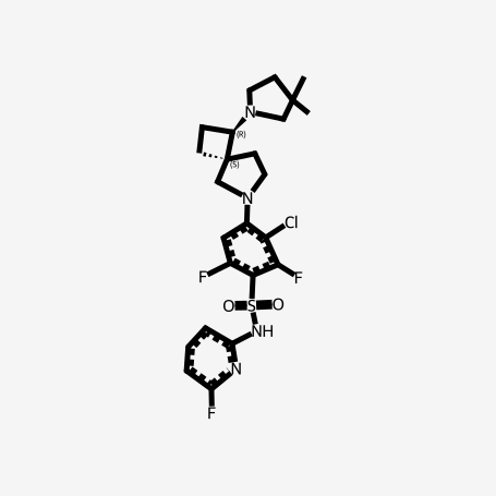 CC1(C)CCN([C@@H]2CC[C@@]23CCN(c2cc(F)c(S(=O)(=O)Nc4cccc(F)n4)c(F)c2Cl)C3)C1